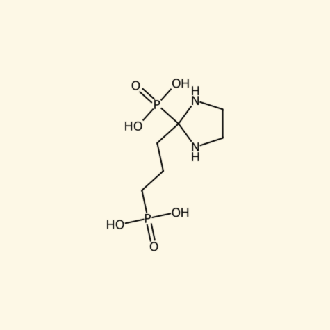 O=P(O)(O)CCCC1(P(=O)(O)O)NCCN1